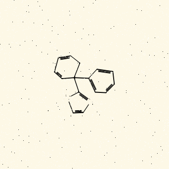 C1=CCC(c2ccccc2)(c2ncc[nH]2)C=C1